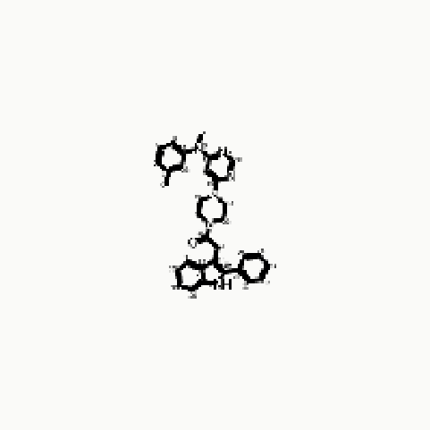 Cc1cccc(N(C)c2cc(N3CCN(C(=O)Cc4c(-c5ccccc5)[nH]c5ccccc45)CC3)ncn2)c1